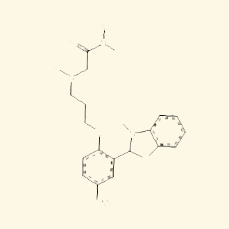 COc1ccc(OCCCN(C)CC(=O)N(C)C)c(C2Sc3ccccc3N2C(C)=O)c1